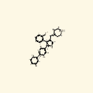 Fc1ccccc1-c1c(CN2CCNCC2)cnn1-c1ccc(-c2ccccc2)nc1